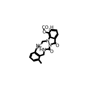 Cc1cccc(C(C)C)c1CNC(=O)n1c(=O)c2cccc(OC(=O)O)c2n1CC#N